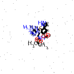 CC(C)S(=O)(=O)NCCn1c(Sc2cc3c(cc2-c2cc[nH]n2)OCO3)nc2c(N)ncnc21